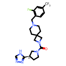 O=C(N1CC[C@@H](c2nnc[nH]2)C1)N1CC2(CCN(Cc3ccc(C(F)(F)F)cc3F)CC2)C1